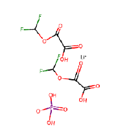 O=C(O)C(=O)OC(F)F.O=C(O)C(=O)OC(F)F.O=P([O-])(O)O.[Li+]